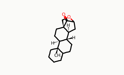 C[C@]12CCCCC1CC[C@H]1[C@@H]3CC4OC[C@@]3(CC[C@@H]12)C4=O